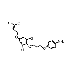 Nc1ccc(OCCCOc2c(Cl)cc(OCC=C(Cl)Cl)cc2Cl)cc1